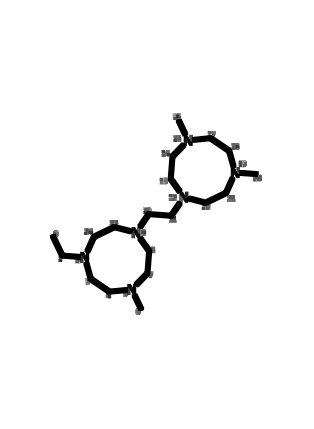 CCN1CCN(C)CCN(CCN2CCN(C)CCN(C)CC2)CC1